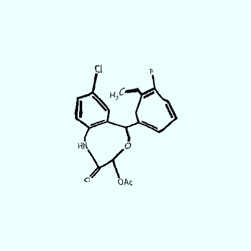 CC(=O)OC1OC(c2cccc(F)c2C)c2cc(Cl)ccc2NC1=O